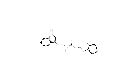 Fc1ccccc1CCSC(=S)NCCc1c[nH]c2ccccc12